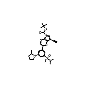 C#Cc1cn(C(=O)OC(C)(C)C)c2ncc(-c3cc(N4CCCC4C)cc(S(=O)(=O)NC)c3)nc12